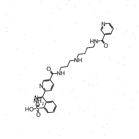 N/N=C(/c1ccc(C(=O)NCCCNCCCCNC(=O)c2cccnc2)cn1)c1ccccc1S(=O)(=O)O